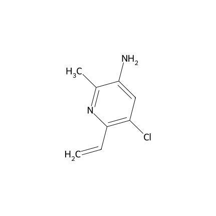 C=Cc1nc(C)c(N)cc1Cl